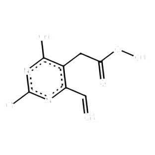 C=Cc1nc(Cl)nc(C)c1CC(=O)OC